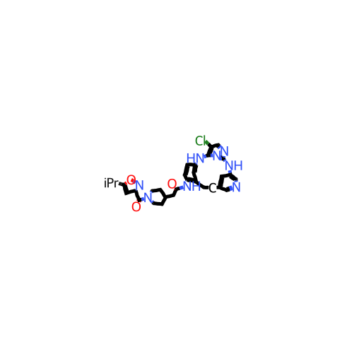 CC(C)c1cc(C(=O)N2CCC(CC(=O)Nc3ccc4cc3CCc3cncc(c3)Nc3ncc(Cl)c(n3)N4)CC2)no1